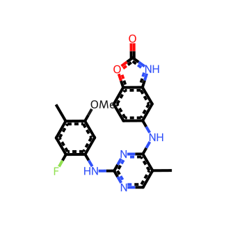 COc1cc(Nc2ncc(C)c(Nc3ccc4oc(=O)[nH]c4c3)n2)c(F)cc1C